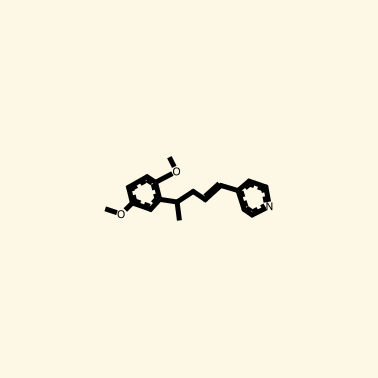 COc1ccc(OC)c(C(C)CC=Cc2ccncc2)c1